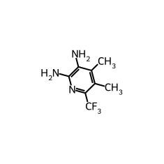 Cc1c(C(F)(F)F)nc(N)c(N)c1C